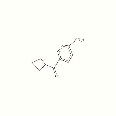 O=C(O)c1ccc(C(=O)C2CCC2)cc1